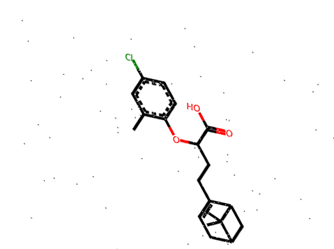 Cc1cc(Cl)ccc1OC(CCC1=CCC2CC1C2(C)C)C(=O)O